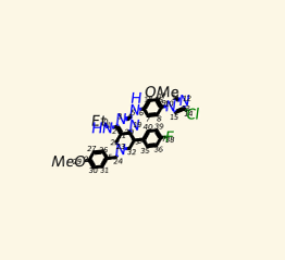 CCNc1nc(Nc2ccc(-n3cnc(Cl)c3)c(OC)c2)nc2c1CN(Cc1ccc(OC)cc1)CC2c1ccc(F)cc1